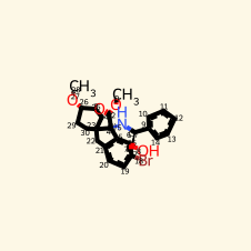 COC(=O)[C@]1(N[C@H](CO)c2ccccc2)c2cc(Br)ccc2CC12CCC(OC)CC2